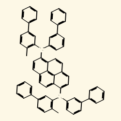 Cc1ccc(-c2ccccc2)cc1N(c1cccc(-c2ccccc2)c1)c1ccc2ccc3c(N(c4cccc(-c5ccccc5)c4)c4cc(-c5ccccc5)ccc4C)ccc4ccc1c2c43